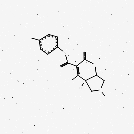 CC(=O)N1C[C@@H]2NC(=O)C(C(=O)Nc3ccc(C)cc3)=C(O)[C@H]2C1